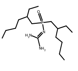 CCCCC(CC)CP(=O)(CC(CC)CCCC)N=C(N)N